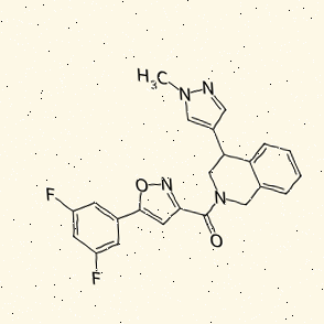 Cn1cc(C2CN(C(=O)c3cc(-c4cc(F)cc(F)c4)on3)Cc3ccccc32)cn1